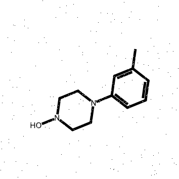 Cc1cccc(N2CCN(O)CC2)c1